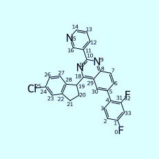 Fc1ccc(-c2ccc3nc(-c4cccnc4)nc(C4CCc5cc(Cl)ccc54)c3c2)c(F)c1